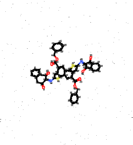 O=C1Cc2ccccc2C(=O)/C1=N\c1cc2c(C(=O)OCc3ccccc3)cc3c(cc(C(=O)OCc4ccccc4)c4cc(N=c5c(=O)c6ccccc6c5=O)sc43)c2s1